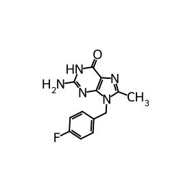 Cc1nc2c(=O)[nH]c(N)nc2n1Cc1ccc(F)cc1